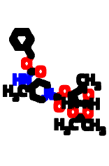 C[C@H]1O[C@@H]2OC(C)(C)O[C@@H]2[C@H]1OC(=O)N1CCC(C)(NC(=O)OCc2ccccc2)CC1